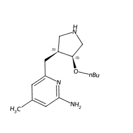 CCCCO[C@@H]1CNC[C@@H]1Cc1cc(C)cc(N)n1